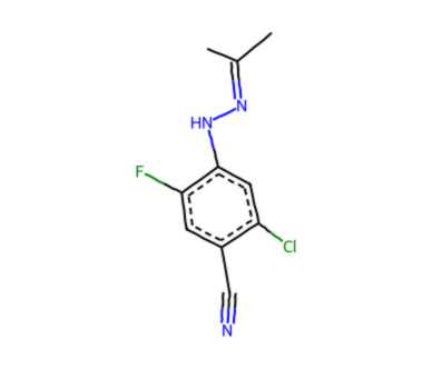 CC(C)=NNc1cc(Cl)c(C#N)cc1F